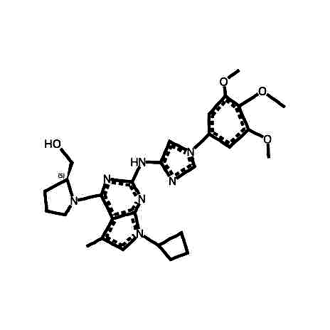 COc1cc(-n2cnc(Nc3nc(N4CCC[C@H]4CO)c4c(C)cn(C5CCC5)c4n3)c2)cc(OC)c1OC